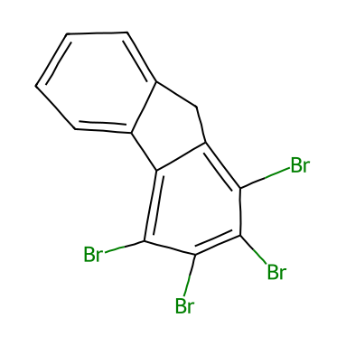 Brc1c(Br)c(Br)c2c(c1Br)Cc1ccccc1-2